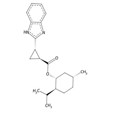 CC(C)[C@@H]1CC[C@@H](C)C[C@H]1OC(=O)[C@H]1C[C@@H]1c1nc2ccccc2[nH]1